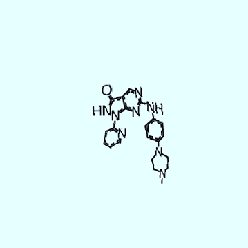 CN1CCN(c2ccc(Nc3ncc4c(=O)[nH]n(-c5ccccn5)c4n3)cc2)CC1